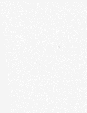 O=[PH2]OC(=O)O